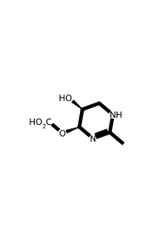 CC1=N[C@@H](OC(=O)O)[C@@H](O)CN1